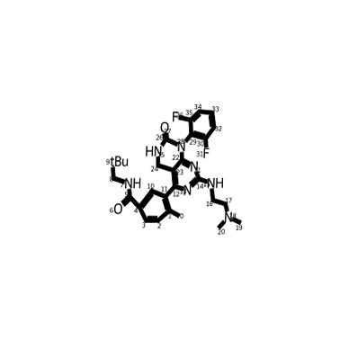 Cc1ccc(C(=O)NCC(C)(C)C)cc1-c1nc(NCCN(C)C)nc2c1CNC(=O)N2c1c(F)cccc1F